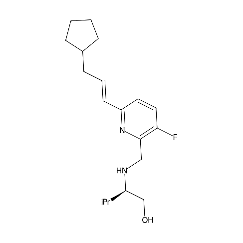 CC(C)[C@H](CO)NCc1nc(/C=C/CC2CCCC2)ccc1F